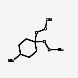 CCCCC1CCC(OOC(C)(C)C)(OOC(C)(C)C)CC1